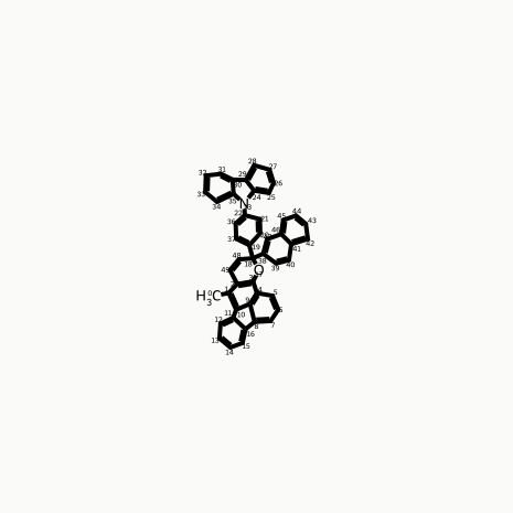 Cc1c2c(c3cccc4c3c1-c1ccccc1-4)OC(c1ccc(-n3c4ccccc4c4ccccc43)cc1)(c1ccc3ccccc3c1)C=C2